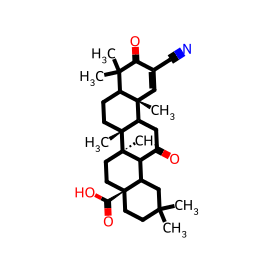 CC1(C)CC[C@]2(C(=O)O)CC[C@]3(C)C(C(=O)CC4[C@@]5(C)C=C(C#N)C(=O)C(C)(C)C5CC[C@]43C)C2C1